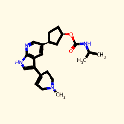 CC(C)NC(=O)O[C@@H]1CC[C@H](c2cnc3[nH]cc(C4=CCN(C)CC4)c3c2)C1